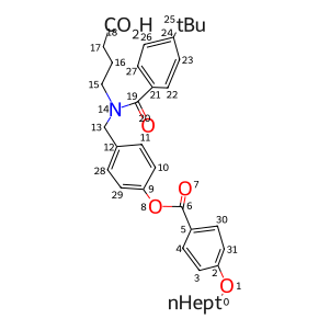 CCCCCCCOc1ccc(C(=O)Oc2ccc(CN(CCCC(=O)O)C(=O)c3ccc(C(C)(C)C)cc3)cc2)cc1